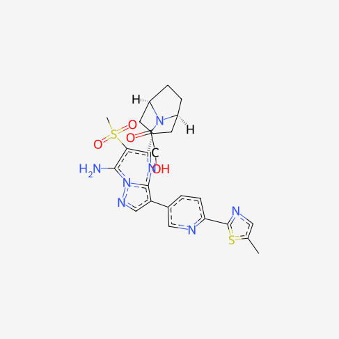 Cc1cnc(-c2ccc(-c3cnn4c(N)c(S(C)(=O)=O)c([C@@H]5C[C@H]6CC[C@@H](C5)N6C(=O)CO)nc34)cn2)s1